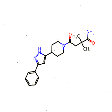 CC(C)([CH]C(=O)N1CCC(c2cc(-c3ccccc3)n[nH]2)CC1)C(N)=O